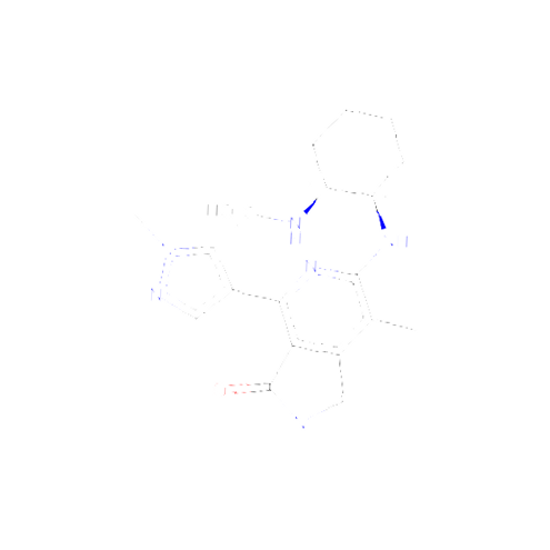 Cc1c(N[C@@H]2CCCC[C@@H]2NC(=O)O)nc(-c2cnn(C)c2)c2c1CNC2=O